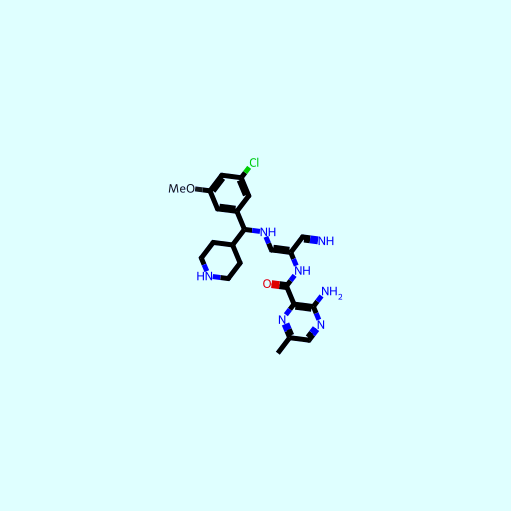 COc1cc(Cl)cc(C(N/C=C(\C=N)NC(=O)c2nc(C)cnc2N)C2CCNCC2)c1